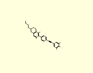 CCCCC1CCc2c(cc(F)c(-c3ccc(C#Cc4cc(F)c(N=C=S)c(F)c4)cc3)c2F)C1